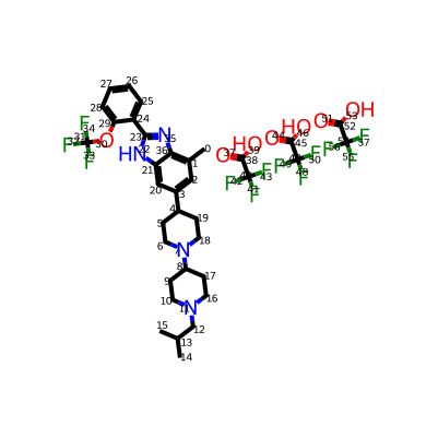 Cc1cc(C2CCN(C3CCN(CC(C)C)CC3)CC2)cc2[nH]c(-c3ccccc3OC(F)(F)F)nc12.O=C(O)C(F)(F)F.O=C(O)C(F)(F)F.O=C(O)C(F)(F)F